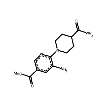 COC(=O)c1cnc(N2CCC(C(N)=O)CC2)c(N)c1